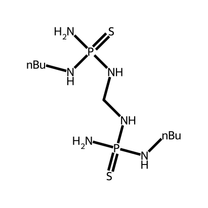 CCCCNP(N)(=S)NCNP(N)(=S)NCCCC